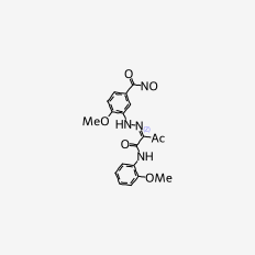 COc1ccc(C(=O)N=O)cc1N/N=C(/C(C)=O)C(=O)Nc1ccccc1OC